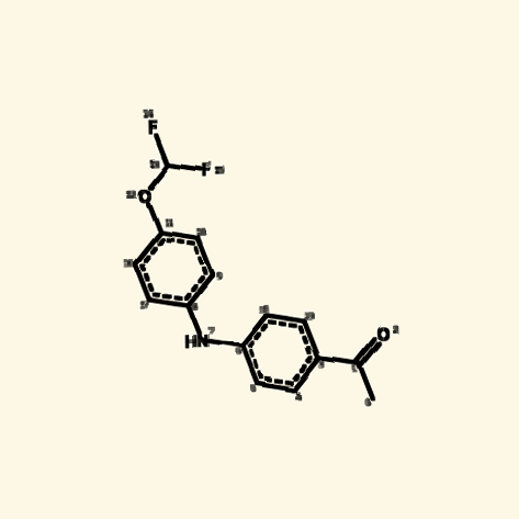 CC(=O)c1ccc(Nc2ccc(OC(F)F)cc2)cc1